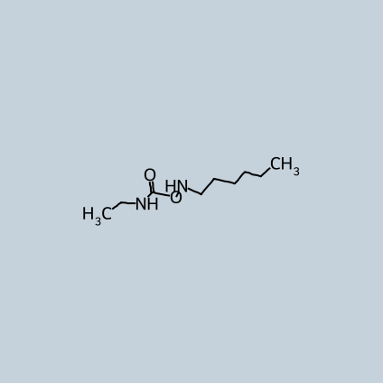 CCCCCCNOC(=O)NCC